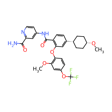 COc1cc(OC(F)(F)F)ccc1Oc1cc([C@H]2CC[C@@H](OC)CC2)ccc1C(=O)Nc1ccnc(C(N)=O)c1